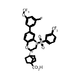 O=C(O)C12CCC([C@H]3CN(S(=O)(=O)c4cccc(C(F)(F)F)c4)c4cc(-c5cc(F)cc(OC(F)(F)F)c5)ccc4O3)(CC1)C2